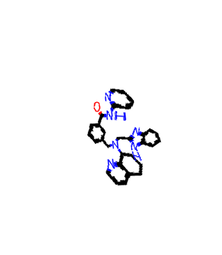 O=C(Nc1ccccn1)c1cccc(CN(Cc2nc3ccccc3[nH]2)C2CCCc3cccnc32)c1